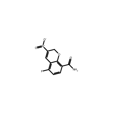 NC(=O)c1ccc(F)c2c1OCC([N+](=O)[O-])=C2